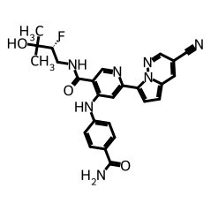 CC(C)(O)[C@H](F)CNC(=O)c1cnc(-c2ccc3cc(C#N)cnn23)cc1Nc1ccc(C(N)=O)cc1